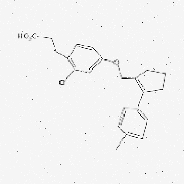 Cc1ccc(C2=C(COc3ccc(CCC(=O)O)c(Cl)c3)CCC2)cc1